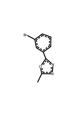 Cc1nnc(-c2cccc(Br)c2)o1